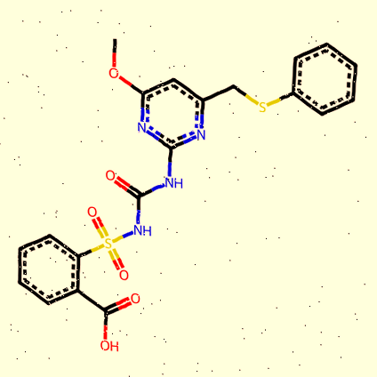 COc1cc(CSc2ccccc2)nc(NC(=O)NS(=O)(=O)c2ccccc2C(=O)O)n1